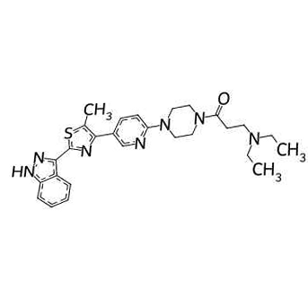 CCN(CC)CCC(=O)N1CCN(c2ccc(-c3nc(-c4n[nH]c5ccccc45)sc3C)cn2)CC1